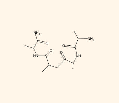 CC(N)C(=O)NC(C)C(=O)CC(C)C(=O)NC(C)C(N)=O